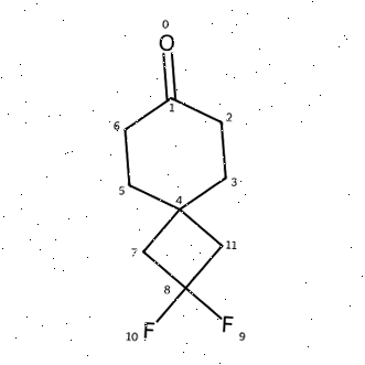 O=C1CCC2(CC1)CC(F)(F)C2